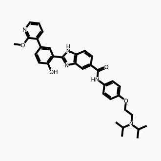 COc1ncccc1-c1ccc(O)c(-c2nc3cc(C(=O)Nc4ccc(OCCN(C(C)C)C(C)C)cc4)ccc3[nH]2)c1